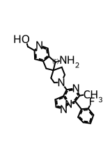 Cc1nc(N2CCC3(CC2)Cc2cc(CO)ncc2[C@H]3N)c2ccnn2c1-c1ccccc1F